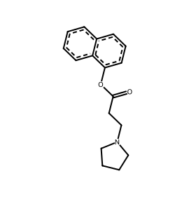 O=C(CCN1CCCC1)Oc1cccc2ccccc12